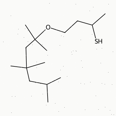 CC(C)CC(C)(C)CC(C)(C)OCCC(C)S